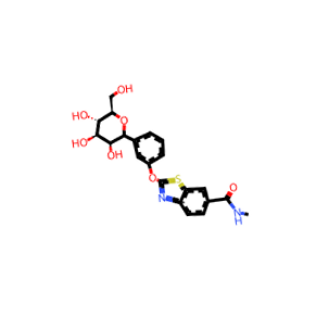 CNC(=O)c1ccc2nc(Oc3cccc(C4O[C@H](CO)[C@@H](O)[C@H](O)[C@@H]4O)c3)sc2c1